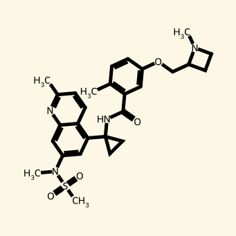 Cc1ccc2c(C3(NC(=O)c4cc(OCC5CCN5C)ccc4C)CC3)cc(N(C)S(C)(=O)=O)cc2n1